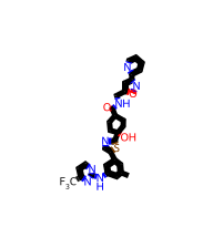 Cc1cc(Nc2nccc(C(F)(F)F)n2)cc(-c2cnc(C3(O)CCC(C(=O)NCc4cc(-c5ccccn5)no4)CC3)s2)c1